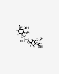 CCCc1c(OCC(O)COc2ccc3c(O)cc(=O)oc3c2)ccc(C(C)=O)c1O